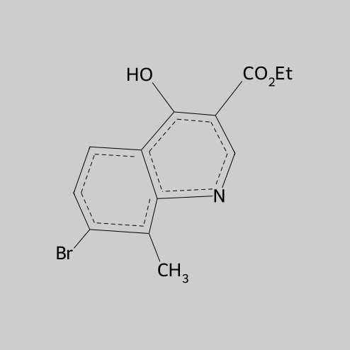 CCOC(=O)c1cnc2c(C)c(Br)ccc2c1O